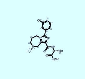 CNC(=O)[C@@H](NC(=O)c1nc(-c2ccnc(Cl)c2)n2c1CN(C)CCC2)C(C)(C)C